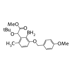 Bc1c(OCc2ccc(OC)cc2)ccc(C)c1C(OC(C)(C)C)C(=O)OC